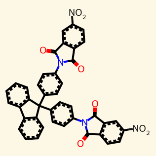 O=C1c2ccc([N+](=O)[O-])cc2C(=O)N1c1ccc(C2(c3ccc(N4C(=O)c5ccc([N+](=O)[O-])cc5C4=O)cc3)c3ccccc3-c3ccccc32)cc1